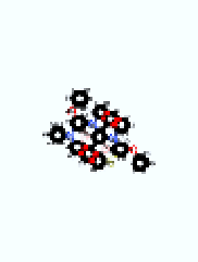 c1ccc(Oc2cc3c4c(c2)N(c2ccccc2)c2c(c(-c5ccccc5)c5c(c2-c2ccccc2)N(c2ccccc2)c2cc(Oc6ccccc6)cc6c2B5c2ccccc2N6c2ccccc2)B4c2ccccc2S3)cc1